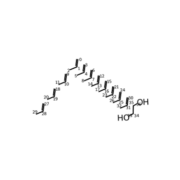 C=CC.C=CC.C=CC.C=CC.C=CC.C=CC.C=CC.C=CC.C=CC.C=CC.C=CC.OCCO